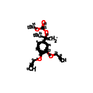 C#CCOc1ccc(C([CH2])(OC(=O)OC(C)(C)C)C(C)(C)C)cc1OCC#C